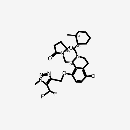 C[C@@H]1CCC(=O)N1C[C@@H]1c2c(OCc3nnn(C)c3C(F)F)ccc(Cl)c2CCN1C(=O)[C@@H]1CCCC[C@@H]1C